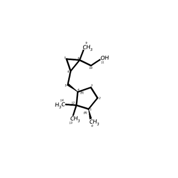 C[C@@H]1CC[C@H](CC2CC2(C)CO)C1(C)C